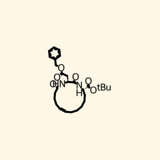 CC(C)(C)OC(=O)[C@@H]1CCCCC/C=C\CCCC(=O)N[C@@H](CC(=O)OCc2ccccc2)C(=O)N1